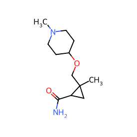 CN1CCC(OCC2(C)CC2C(N)=O)CC1